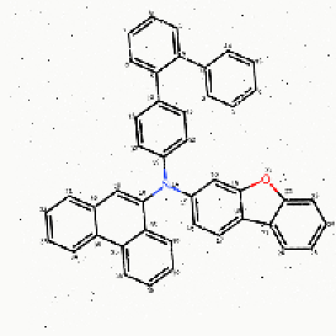 c1ccc(-c2ccccc2-c2ccc(N(c3ccc4c(c3)oc3ccccc34)c3cc4ccccc4c4ccccc34)cc2)cc1